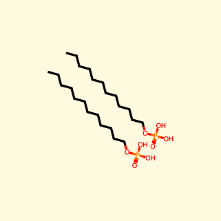 CCCCCCCCCCCCOP(=O)(O)O.CCCCCCCCCCCCOP(=O)(O)O